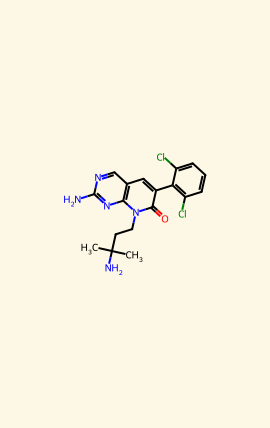 CC(C)(N)CCn1c(=O)c(-c2c(Cl)cccc2Cl)cc2cnc(N)nc21